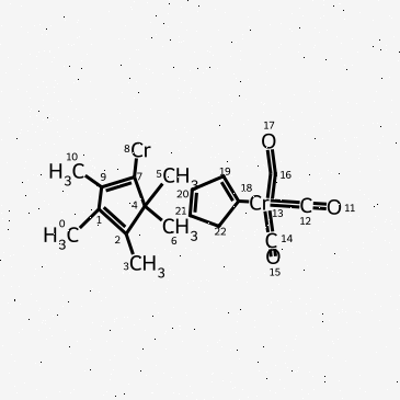 CC1=C(C)C(C)(C)[C]([Cr])=C1C.O=[C]=[Cr](=[C]=O)(=[C]=O)[C]1=CC=CC1